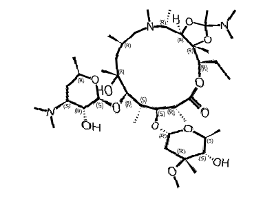 CC[C@H]1OC(=O)[C@H](C)[C@@H](O[C@H]2C[C@@](C)(OC)[C@@H](O)[C@H](C)O2)[C@H](C)[C@@H](O[C@@H]2O[C@H](C)C[C@H](N(C)C)[C@H]2O)[C@](C)(O)C[C@@H](C)CN(C)[C@H](C)[C@H]2OC(C)(N(C)C)O[C@@]21C